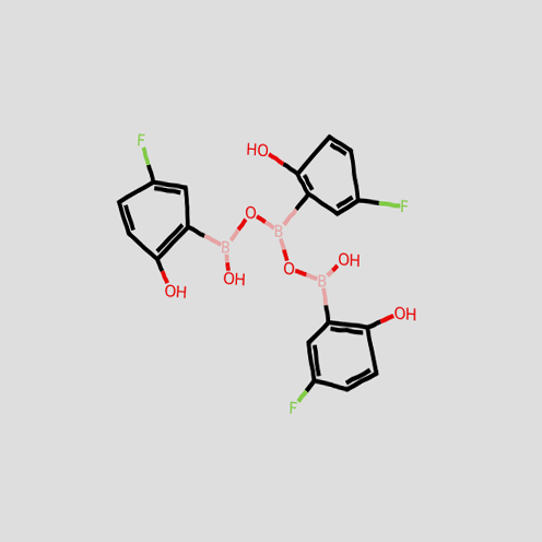 OB(OB(OB(O)c1cc(F)ccc1O)c1cc(F)ccc1O)c1cc(F)ccc1O